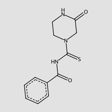 O=C1CN(C(=S)NC(=O)c2ccccc2)CCN1